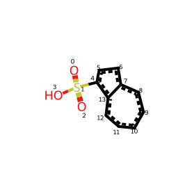 O=S(=O)(O)c1ccc2cccccc1-2